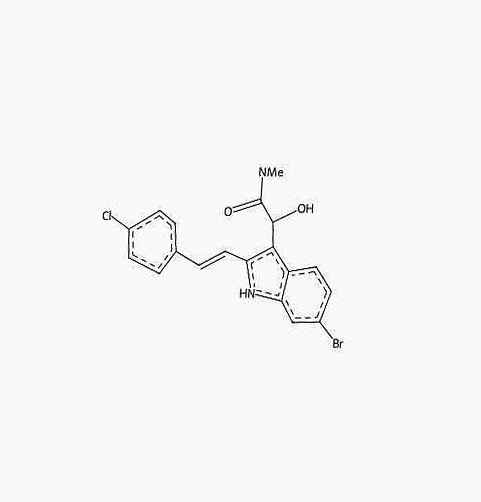 CNC(=O)C(O)c1c(C=Cc2ccc(Cl)cc2)[nH]c2cc(Br)ccc12